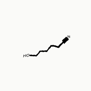 N#C[CH]CCCCO